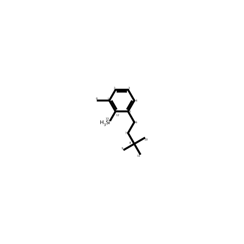 Cc1cccc(CCC(C)(C)C)c1[SiH3]